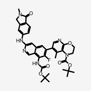 Cc1c(-c2cc3cc(Nc4ccc5c(c4)CN(C)C5=O)ncc3c(NC(=O)OC(C)(C)C)c2F)cnc2c1N(C(=O)OC(C)(C)C)CCO2